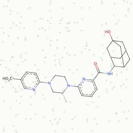 C[C@@H]1CN(c2ccc(C(=O)O)cn2)CCN1c1cccc(C(=O)NC2C3CC4CC2CC(O)(C4)C3)n1